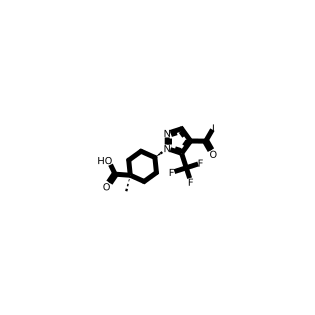 C[C@]1(C(=O)O)CC[C@H](n2ncc(C(=O)I)c2C(F)(F)F)CC1